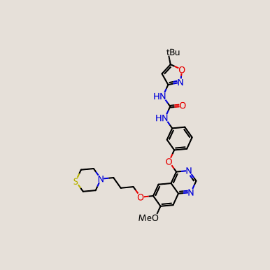 COc1cc2ncnc(Oc3cccc(NC(=O)Nc4cc(C(C)(C)C)on4)c3)c2cc1OCCCN1CCSCC1